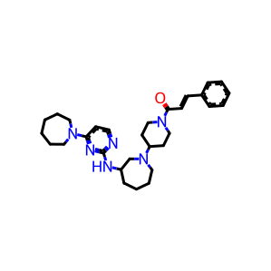 O=C(C=Cc1ccccc1)N1CCC(N2CCCCC(Nc3nccc(N4CCCCCC4)n3)C2)CC1